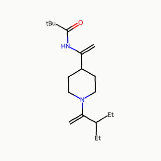 C=C(NC(=O)C(C)(C)C)C1CCN(C(=C)C(CC)CC)CC1